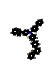 CC1(C)C(c2ccc(N(c3ccc(-c4ccccc4)cc3)c3ccc(-c4ccc(-c5cccc6c5sc5ccccc56)cc4)cc3)cc2)=Cc2ccccc21